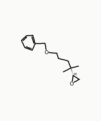 CC(C)(CCCOCc1ccccc1)[C@@H]1CO1